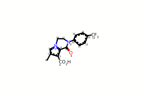 Cc1cn2c(c1C(=O)O)C(=O)N(c1ccc(C(F)(F)F)cc1)CC2